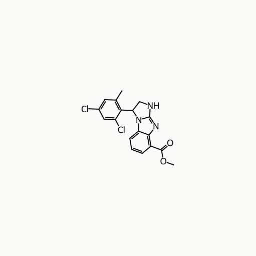 COC(=O)c1cccc2c1nc1n2C(c2c(C)cc(Cl)cc2Cl)CN1